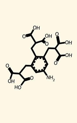 Nc1cc(CC(C(=O)O)C(=O)O)c(CC(C(=O)O)C(=O)O)c(CC(C(=O)O)C(=O)O)c1